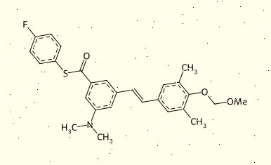 COCOc1c(C)cc(C=Cc2cc(C(=O)Sc3ccc(F)cc3)cc(N(C)C)c2)cc1C